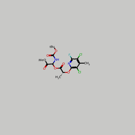 COC(=O)C(NC(=O)OC(C)(C)C)OC(=O)[C@@H](C)Oc1nc(F)c(Cl)c(C)c1Cl